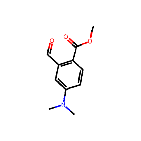 COC(=O)c1ccc(N(C)C)cc1C=O